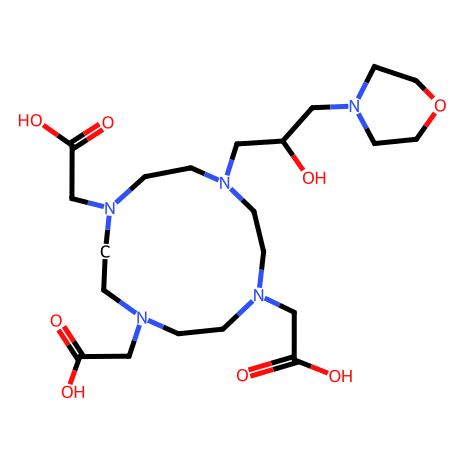 O=C(O)CN1CCN(CC(=O)O)CCN(CC(O)CN2CCOCC2)CCN(CC(=O)O)CC1